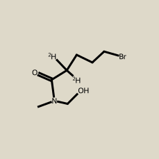 [2H]C([2H])(CCCBr)C(=O)N(C)CO